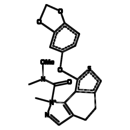 CON(C)C(=O)[N+]1(C)N=CC2=C1c1c(csc1Oc1ccc3c(c1)OCO3)CC2